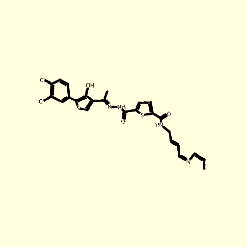 C\C=C/N=C\C=C\CNC(=O)c1ccc(C(=O)N/N=C(\C)c2csc(-c3ccc(Cl)c(Cl)c3)c2O)s1